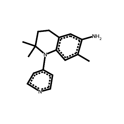 Cc1cc2c(cc1N)CCC(C)(C)N2c1ccncc1